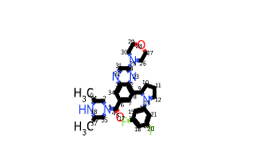 CC1CN(C(=O)c2cc(C3CCCN3c3cc(F)cc(F)c3)c3nc(N4CCOCC4)cnc3c2)CC(C)N1